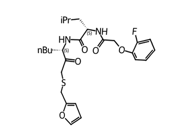 CCCC[C@H](NC(=O)[C@H](CC(C)C)NC(=O)COc1ccccc1F)C(=O)CSCc1ccco1